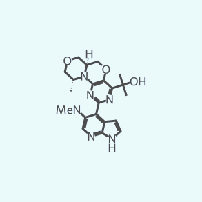 CNc1cnc2[nH]ccc2c1-c1nc2c(c(C(C)(C)O)n1)OC[C@@H]1COC[C@@H](C)N21